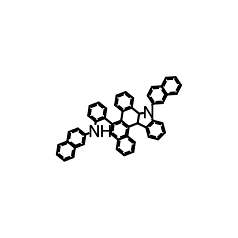 c1ccc(-c2cc3ccccc3c3c2-c2ccccc2C2C3c3ccccc3N2c2ccc3ccccc3c2)c(Nc2ccc3ccccc3c2)c1